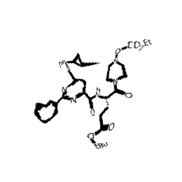 CCOC(=O)ON1CCN(C(=O)[C@H](CCC(=O)OC(C)(C)C)NC(=O)c2cc(NC3CC3)nc(-c3ccccc3)n2)CC1